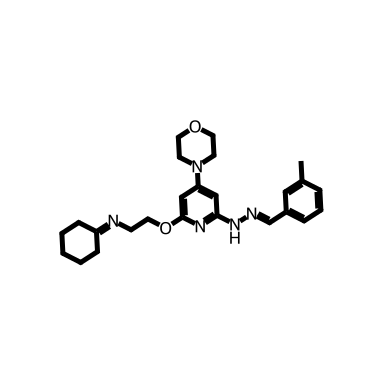 Cc1cccc(C=NNc2cc(N3CCOCC3)cc(OCCN=C3CCCCC3)n2)c1